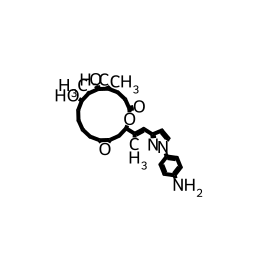 C/C(=C\c1ccn(-c2ccc(N)cc2)n1)C1CC2OC2CCCCC(O)[C@@H](C)C(=O)C(C)(C)CCC(=O)O1